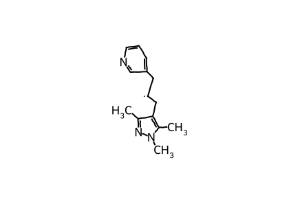 Cc1nn(C)c(C)c1C[CH]Cc1cccnc1